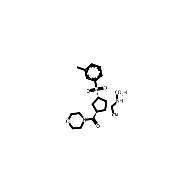 Cc1cccc(S(=O)(=O)[C@@H]2CC[C@@H](C(=O)N3CCOCC3)C2)c1.N#CCNC(=O)O